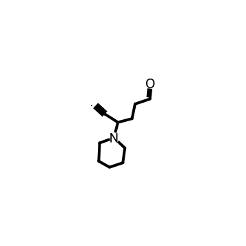 [C]#CC(CCC=O)N1CCCCC1